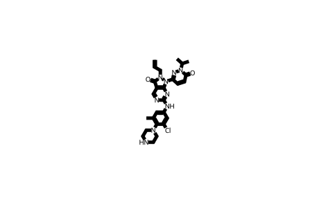 C=CCn1c(=O)c2cnc(Nc3cc(C)c(N4CCNCC4)c(Cl)c3)nc2n1-c1ccc(=O)n(C(C)C)n1